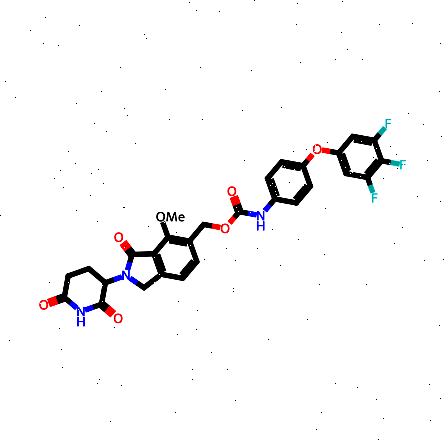 COc1c(COC(=O)Nc2ccc(Oc3cc(F)c(F)c(F)c3)cc2)ccc2c1C(=O)N(C1CCC(=O)NC1=O)C2